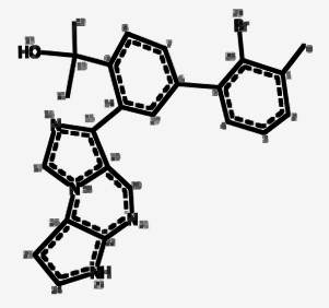 Cc1cccc(-c2ccc(C(C)(C)O)c(-c3ncn4c3cnc3[nH]ccc34)c2)c1Br